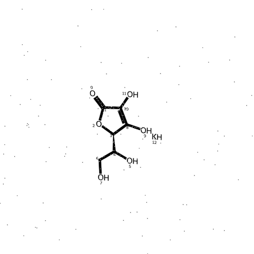 O=C1O[C@H](C(O)CO)C(O)=C1O.[KH]